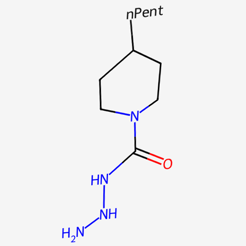 CCCCCC1CCN(C(=O)NNN)CC1